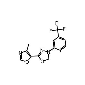 Cc1ncoc1C1=NN(c2[c]ccc(C(F)(F)F)c2)CO1